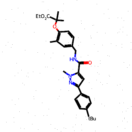 CCOC(=O)C(C)(C)Oc1ccc(CNC(=O)c2cc(-c3ccc(C(C)(C)C)cc3)nn2C)cc1C